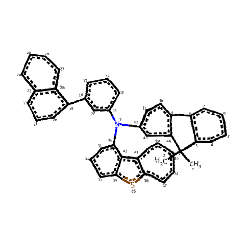 CC1(C)c2ccccc2-c2ccc(N(c3cccc(-c4cccc5ccccc45)c3)c3cccc4sc5ccccc5c34)cc21